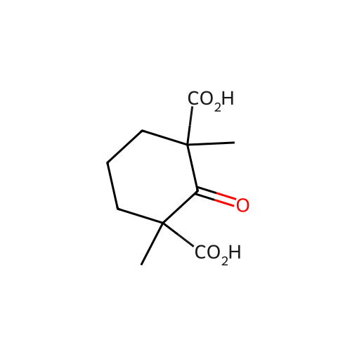 CC1(C(=O)O)CCCC(C)(C(=O)O)C1=O